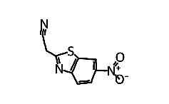 N#CCc1nc2ccc([N+](=O)[O-])cc2s1